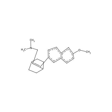 COc1ccc2cc(C3=C(CN(C)C)C4CCC3CC4)ccc2c1